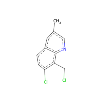 Cc1cnc2c(CCl)c(Cl)ccc2c1